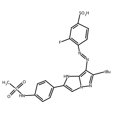 CC(C)(C)c1nn2cc(-c3ccc(NS(C)(=O)=O)cc3)[nH]c2c1N=Nc1ccc(S(=O)(=O)O)cc1F